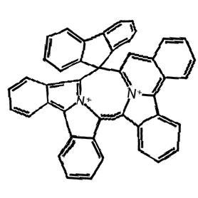 c1ccc2c(c1)C1=C3c4ccccc4-c4c5ccccc5cc([n+]43)C3(c4ccccc4-c4ccccc43)c3cc4ccccc4c-2[n+]31